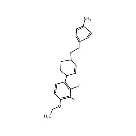 CCOc1ccc(C2C=CC(CCc3ccc(C)cc3)CC2)c(F)c1F